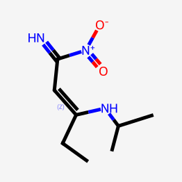 CC/C(=C/C(=N)[N+](=O)[O-])NC(C)C